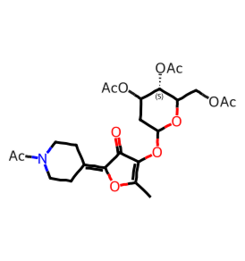 CC(=O)OCC1OC(OC2=C(C)OC(=C3CCN(C(C)=O)CC3)C2=O)CC(OC(C)=O)[C@@H]1OC(C)=O